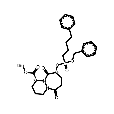 CC(C)(C)OC(=O)[C@@H]1CCCN2C(=O)CC[C@H](OP(=O)(CCCCc3ccccc3)OCc3ccccc3)C(=O)N12